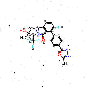 Cc1nnc(-c2ccc(-c3c(F)ccc4c3C(=O)N([C@@H](C(C)(C)O)C(F)(F)F)C4)cc2)o1